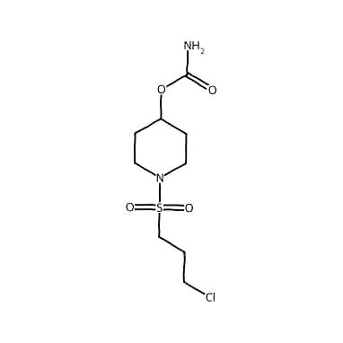 NC(=O)OC1CCN(S(=O)(=O)CCCCl)CC1